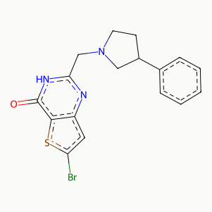 O=c1[nH]c(CN2CCC(c3ccccc3)C2)nc2cc(Br)sc12